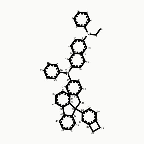 CCN(c1ccccc1)c1ccc2cc(N(c3ccccc3)c3ccc(CC4(c5ccc6c(c5)CC6)c5ccccc5-c5ccccc54)cc3)ccc2c1